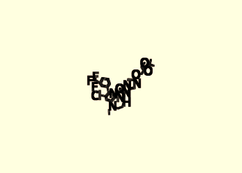 CCN1CCCN(C(=O)Nc2cnc(OCC3=COC(C)(C)O3)cn2)c2nc(-c3cccc(C(F)(F)F)c3)c(Cl)cc21